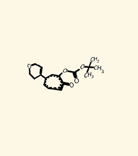 CC(C)(C)OC(=O)Oc1cc(C2=CCOCC2)cccc1=O